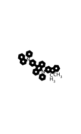 CC1(C)c2ccccc2-c2ccc(N(c3ccccc3)c3c4ccccc4c(-c4ccc(N(c5ccccc5)c5cccc6ccccc56)cc4)c4ccccc34)cc21